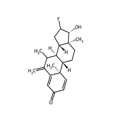 C=C1C2=CC(=O)C=C[C@]2(C)[C@H]2CC[C@]3(C)[C@@H](O)C(F)C[C@H]3[C@@H]2C1C